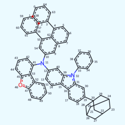 c1ccc(-c2cccc3cc(N(c4ccc5c6ccc(C78CC9CC(CC(C9)C7)C8)cc6n(-c6ccccc6)c5c4)c4cccc5oc6ccccc6c45)cc(-c4ccccc4)c23)cc1